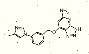 Cc1cn(-c2cccc(COc3cc(N)nc4[nH]nnc34)c2)cn1